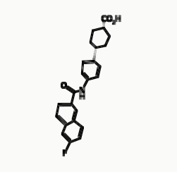 O=C(Nc1ccc([C@H]2CC[C@@H](C(=O)O)CC2)cc1)c1ccc2cc(F)ccc2c1